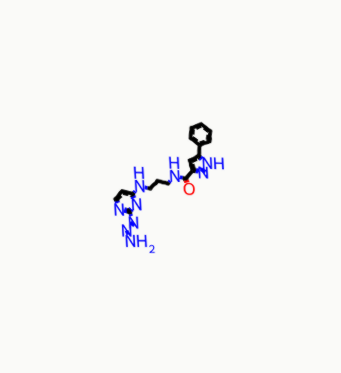 NN=Nc1nccc(NCCCNC(=O)c2cc(-c3ccccc3)[nH]n2)n1